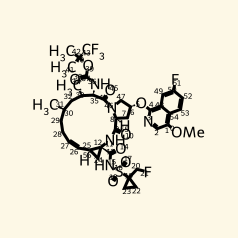 COc1cnc(O[C@@H]2C[C@H]3C(=O)N[C@]4(C(=O)NS(=O)(=O)C5(CF)CC5)C[C@H]4/C=C\CC[C@@H](C)C[C@@H](C)[C@H](NC(=O)OC(C)(C)C(F)(F)F)C(=O)N3C2)c2cc(F)ccc12